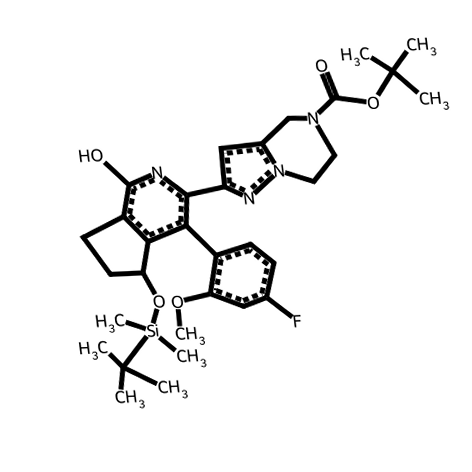 COc1cc(F)ccc1-c1c(-c2cc3n(n2)CCN(C(=O)OC(C)(C)C)C3)nc(O)c2c1C(O[Si](C)(C)C(C)(C)C)CC2